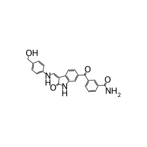 NC(=O)c1cccc(C(=O)c2ccc3c(c2)NC(=O)C3=CNc2ccc(CO)cc2)c1